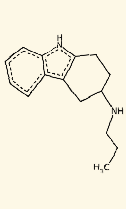 CCCNC1CCc2[nH]c3ccccc3c2C1